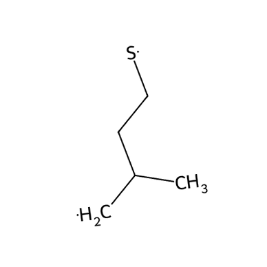 [CH2]C(C)CC[S]